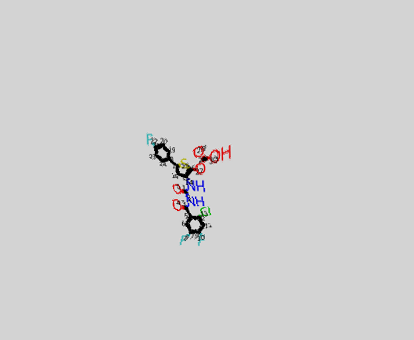 O=C(NC(=O)c1cc(F)c(F)cc1Cl)Nc1cc(-c2ccc(F)cc2)sc1OC(=O)O